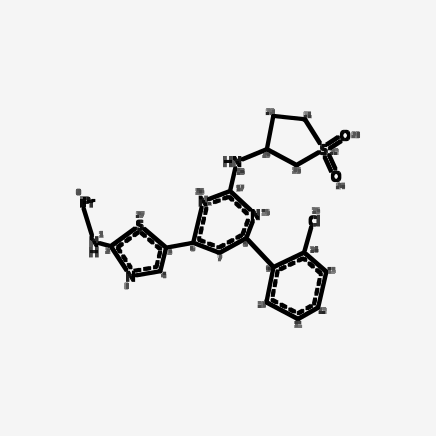 CC(C)Nc1ncc(-c2cc(-c3ccccc3Cl)nc(NC3CCS(=O)(=O)C3)n2)s1